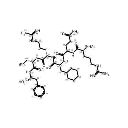 CC(=O)N[C@@H](CCCNC(=N)N)C(=O)NC(CCC(N)=O)C(=O)N[C@@H](CC1CCCCC1)C(=O)N[C@@H](CCCNC(=N)N)C(=O)N[C@@H](CC(C)C)C(=O)N[C@@H](Cc1ccccc1)C(=O)O